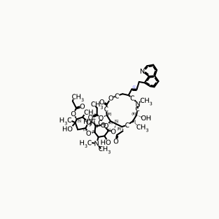 CCC(=O)O[C@@H]1CC(=O)OCCC(/C=C/Cc2cccc3cccnc23)CN(C)C[C@H](O)[C@H](C)C[C@H](CC=O)[C@H](O[C@@H]2OC(C)[C@@H](O[C@H]3CC(C)(O)[C@@H](OC(=O)CC)C(C)O3)C(N(C)C)C2O)[C@H]1OC